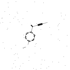 CC#CC(=O)c1ccc(OC)cc1